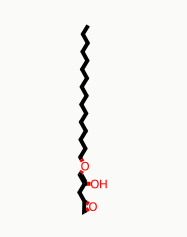 CCCCCCCCCCCCCCCCOC=C(O)CC1CO1